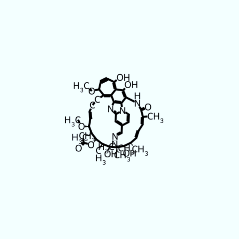 COC1C#CC(O)=c2c(O)c3c4c(nc5cc(/C=N/N(C)C)ccn54)c2=C1CC/C=C/[C@H](OC)[C@@H](C)[C@@H](OC(C)=O)[C@H](C)[C@H](O)[C@H](C)[C@@H](O)[C@@H](C)/C=C/C=C(/C)C(=O)N3